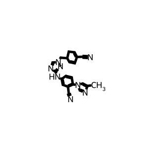 Cc1cn(-c2ccc(Nc3ncn(CC4C=CC(C#N)=CC4)n3)cc2C#N)cn1